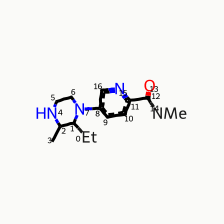 CCC1C(C)NCCN1c1ccc(C(=O)NC)nc1